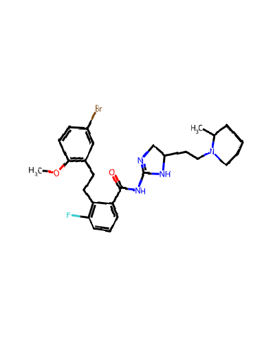 COc1ccc(Br)cc1CCc1c(F)cccc1C(=O)NC1=NCC(CCN2CCCCC2C)N1